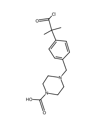 CC(C)(C(=O)Cl)c1ccc(CN2CCN(C(=O)O)CC2)cc1